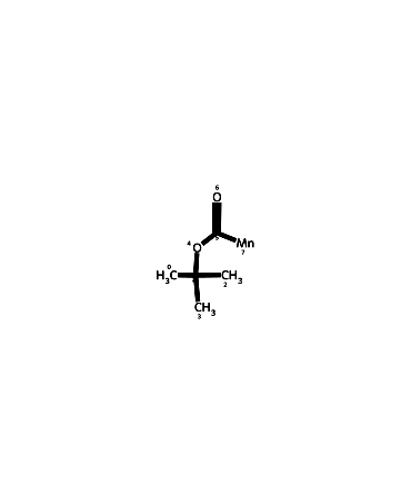 CC(C)(C)O[C](=O)[Mn]